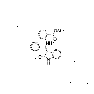 COC(=O)c1ccccc1NC(=C1C(=O)Nc2ccccc21)c1ccccc1